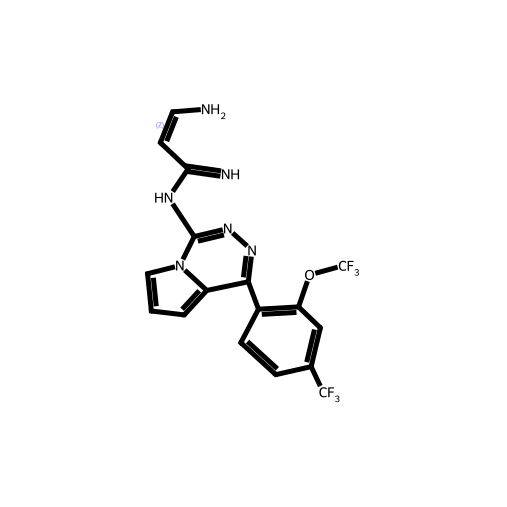 N=C(/C=C\N)Nc1nnc(-c2ccc(C(F)(F)F)cc2OC(F)(F)F)c2cccn12